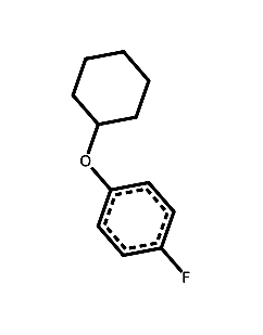 Fc1ccc(OC2CCCCC2)cc1